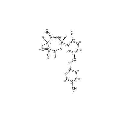 CN1C[C@@](C)(c2cc(OCc3ccc(C#N)cc3)ccc2F)NC(=N)C(C)(C)S1(=O)=O